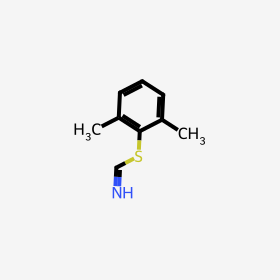 Cc1cccc(C)c1SC=N